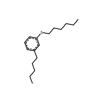 [CH2]CCCCc1cccc(SCCCCCC)c1